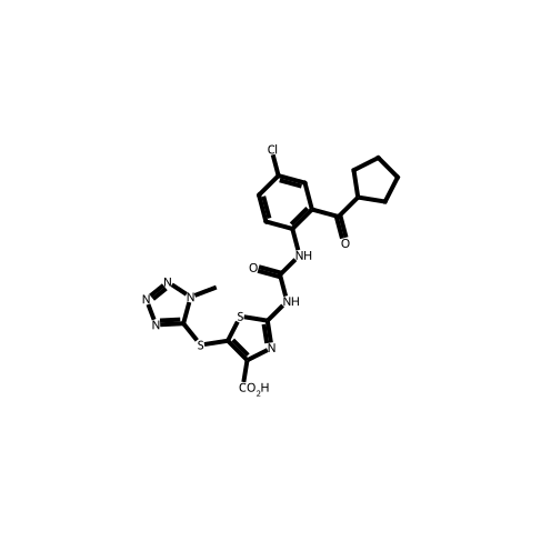 Cn1nnnc1Sc1sc(NC(=O)Nc2ccc(Cl)cc2C(=O)C2CCCC2)nc1C(=O)O